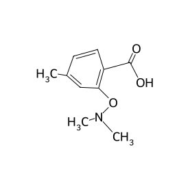 Cc1ccc(C(=O)O)c(ON(C)C)c1